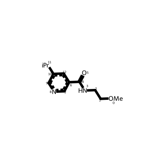 COCCNC(=O)c1cncc(C(C)C)c1